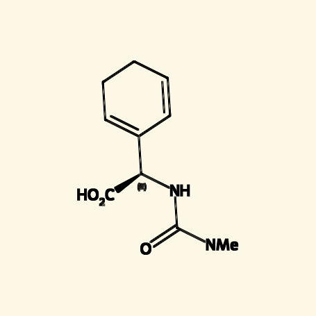 CNC(=O)N[C@@H](C(=O)O)C1=CCCC=C1